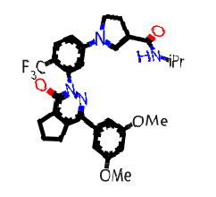 COc1cc(OC)cc(-c2nn(-c3cc(N4CCC(C(=O)NC(C)C)C4)ccc3C(F)(F)F)c(=O)c3c2CCC3)c1